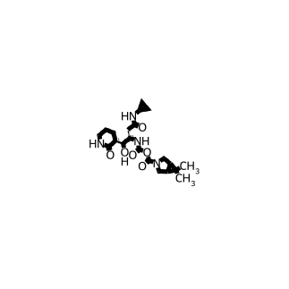 CC1(C)C2CN(C(=O)OC(=O)N[C@@H](CC(=O)NC3CC3)C(O)[C@@H]3CCCNC3=O)CC21